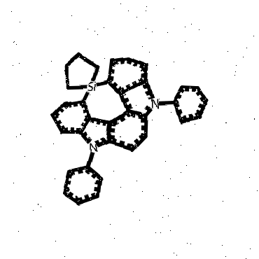 c1ccc(-n2c3cccc4c3c3c5c6c(cccc6n(-c6ccccc6)c5ccc32)[Si]42CCCC2)cc1